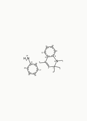 CC1=CC(C)(C)N(C)c2ccccc21.Nc1ccccc1